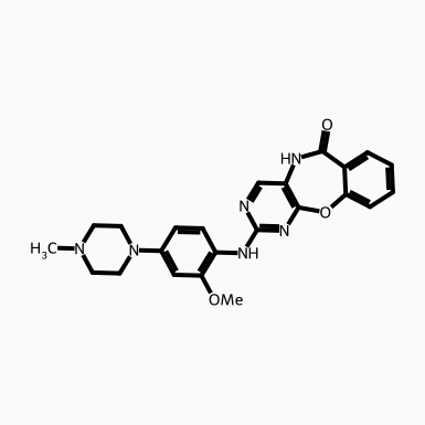 COc1cc(N2CCN(C)CC2)ccc1Nc1ncc2c(n1)Oc1ccccc1C(=O)N2